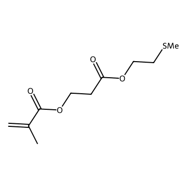 C=C(C)C(=O)OCCC(=O)OCCSC